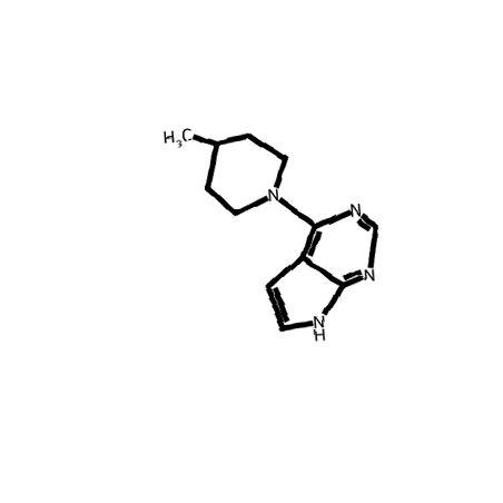 CC1CCN(c2ncnc3[nH]ccc23)CC1